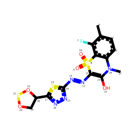 Cc1ccc2c(c1F)S(=O)(=O)C(N=Nc1nnc(C3COSO3)s1)=C(O)N2C